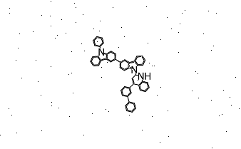 C1=C(c2cccc(-c3ccccc3)c2)c2ccccc2NC1n1c2ccccc2c2cc(-c3ccc4c(c3)c3ccccc3n4-c3ccccc3)ccc21